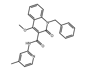 COc1c(C(=O)Nc2cc(C)ccn2)c(=O)n(Cc2ccccc2)c2ccccc12